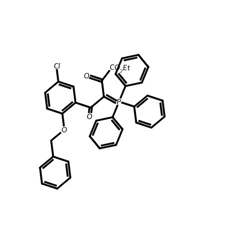 CCOC(=O)C(=O)C(C(=O)c1cc(Cl)ccc1OCc1ccccc1)=P(c1ccccc1)(c1ccccc1)c1ccccc1